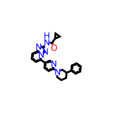 O=C(Nc1nc2cccc(-c3ccc(N4CCCC(c5ccccc5)C4)nc3)n2n1)C1CC1